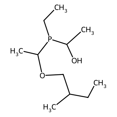 CCC(C)COC(C)P(CC)C(C)O